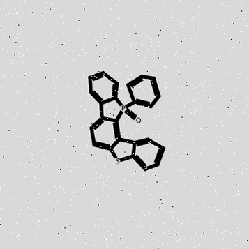 O=P1(c2ccccc2)c2ccccc2-c2ccc3sc4ccccc4c3c21